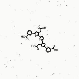 O=C(O)Cc1cc(-c2cccc(C(=O)O)c2)sc1-c1ccc(-c2sc(-c3cccc(C(=O)O)c3)cc2CC(=O)O)s1